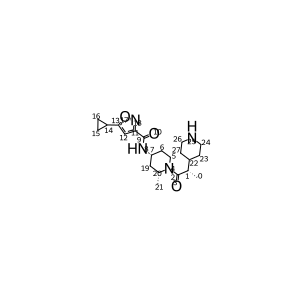 C[C@H](C(=O)N1CC[C@@H](NC(=O)c2cc(C3CC3)on2)C[C@H]1C)C1CCNCC1